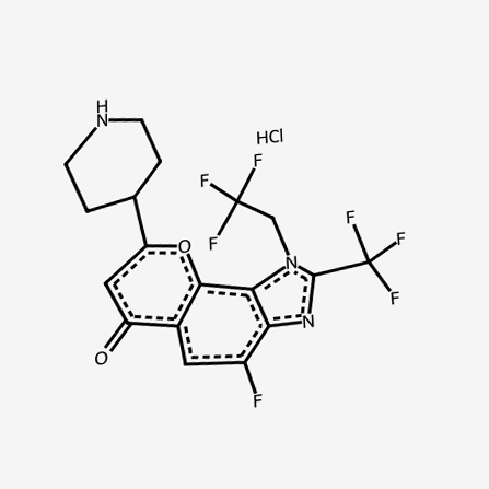 Cl.O=c1cc(C2CCNCC2)oc2c1cc(F)c1nc(C(F)(F)F)n(CC(F)(F)F)c12